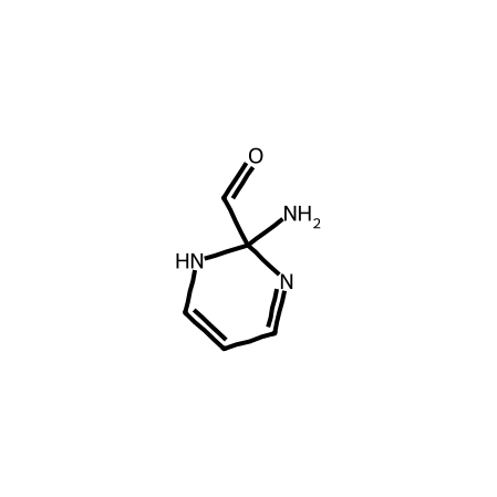 NC1(C=O)N=CC=CN1